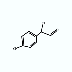 O=CC(O)c1ccc(Cl)cc1